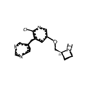 Clc1ncc(OC[C@@H]2CCN2)cc1-c1cncnc1